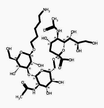 CC(=O)N[C@H]1[C@H](O[C@@H]2[C@@H](O)[C@H](OCCCCCN)O[C@H](CO)[C@H]2O)O[C@H](CO[C@]2(C(=O)O)C[C@H](O)[C@@H](NC(C)=O)[C@H]([C@H](O)[C@H](O)CO)O2)[C@@H](O)[C@@H]1O